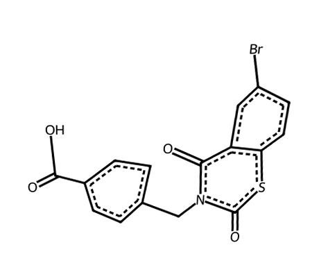 O=C(O)c1ccc(Cn2c(=O)sc3ccc(Br)cc3c2=O)cc1